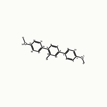 COc1ccc(-c2ccc(-c3ccc(OC)cc3)c(C)c2)cc1